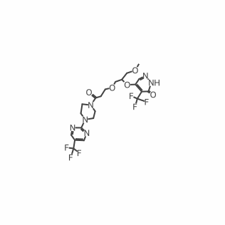 COCC(COCCC(=O)N1CCN(c2ncc(C(F)(F)F)cn2)CC1)Oc1cn[nH]c(=O)c1C(F)(F)F